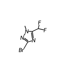 Cn1nc(Br)nc1C(F)F